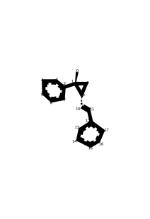 C[C@@]1(c2ccccc2)C[C@@H]1/C=C/c1ccccc1